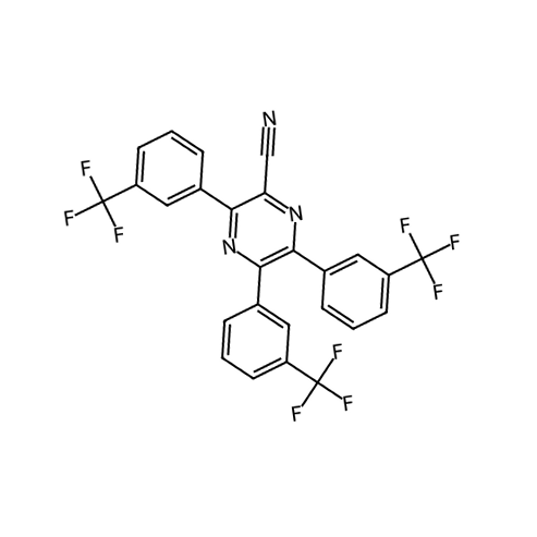 N#Cc1nc(-c2cccc(C(F)(F)F)c2)c(-c2cccc(C(F)(F)F)c2)nc1-c1cccc(C(F)(F)F)c1